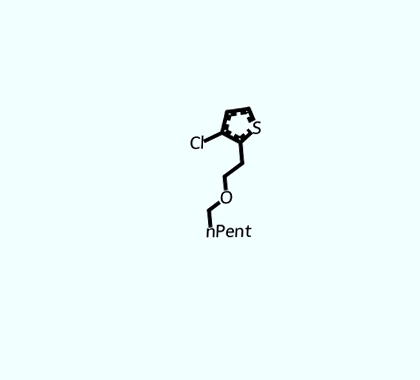 [CH2]CCCCCOCCc1sccc1Cl